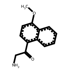 COc1ccc(C(=O)CN)c2ccccc12